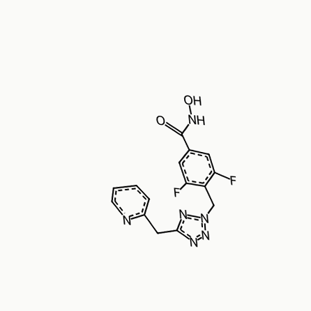 O=C(NO)c1cc(F)c(Cn2nnc(Cc3ccccn3)n2)c(F)c1